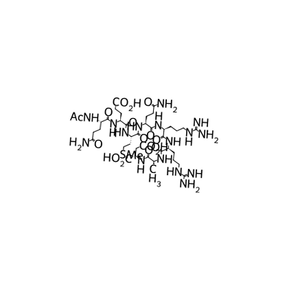 CSCC[C@H](NC(=O)[C@H](CCC(=O)O)NC(=O)[C@H](CCC(N)=O)NC(C)=O)C(=O)N[C@@H](CCC(N)=O)C(=O)N[C@@H](CCCNC(=N)N)C(=O)N[C@@H](CCCNC(=N)N)C(=O)N[C@@H](C)C(=O)N[C@@H](CC(=O)O)C(=O)O